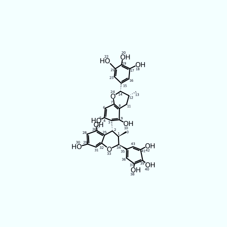 C[C@@H]1[C@@H](c2c(O)cc3c(c2O)C[C@@H](C)[C@@H](c2cc(O)c(O)c(O)c2)O3)c2c(O)cc(O)cc2O[C@@H]1c1cc(O)c(O)c(O)c1